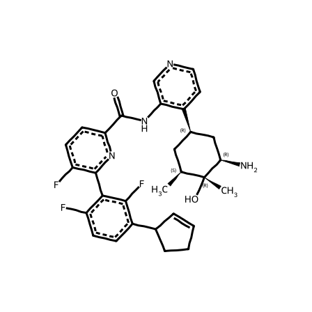 C[C@H]1C[C@@H](c2ccncc2NC(=O)c2ccc(F)c(-c3c(F)ccc(C4C=CCC4)c3F)n2)C[C@@H](N)[C@]1(C)O